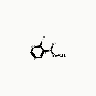 CON(F)c1cccnc1F